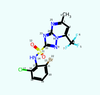 Cc1cc(C(F)(F)F)n2nc(S(=O)(=O)Nc3c(Cl)cccc3Br)nc2n1